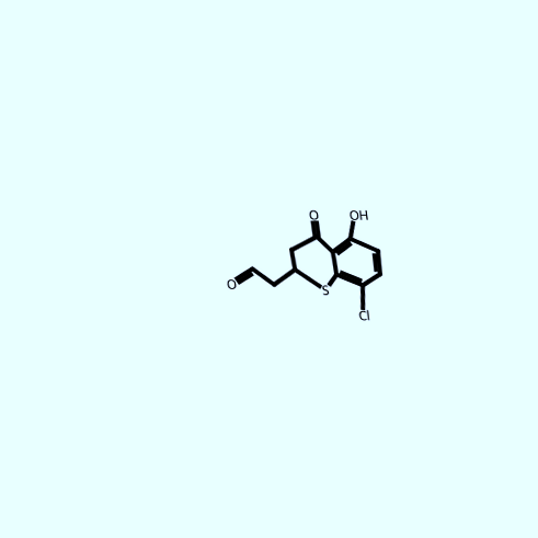 O=CCC1CC(=O)c2c(O)ccc(Cl)c2S1